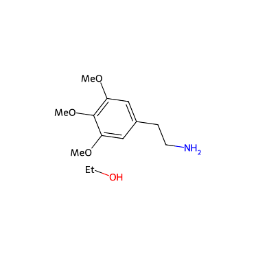 CCO.COc1cc(CCN)cc(OC)c1OC